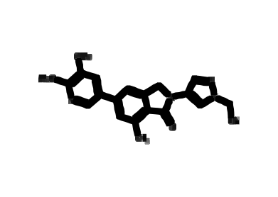 COc1cc(-c2cc(C)c3c(c2)CN(c2cnn(CC#N)c2)C3=O)cnc1OC